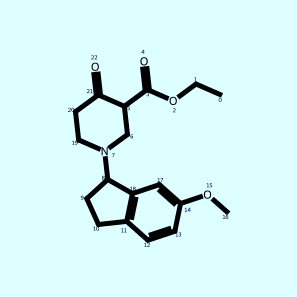 CCOC(=O)C1CN(C2CCc3ccc(OC)cc32)CCC1=O